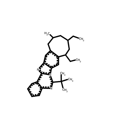 CCC1CC(C)Cc2cc3nc4c5ccccc5nc(C(C)(C)C)n4c3cc2C(CC)C1